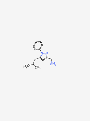 CC(C)Cc1cc(CN)nn1-c1ccccc1